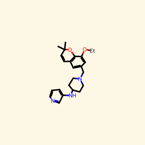 CCOc1cc(CN2CCC(Nc3cccnc3)CC2)cc2c1OC(C)(C)C=C2